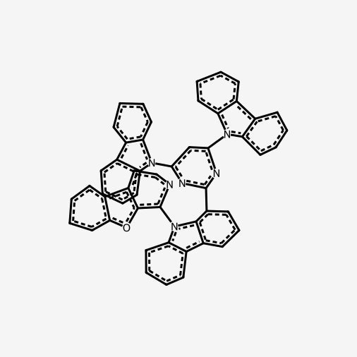 c1ccc2c(c1)oc1c(-n3c4ccccc4c4cccc(-c5nc(-n6c7ccccc7c7ccccc76)cc(-n6c7ccccc7c7ccccc76)n5)c43)nccc12